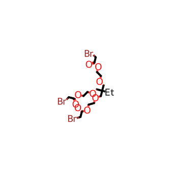 CCC(COCCOC(=O)CBr)(COCCOC(=O)CBr)COCCOC(=O)CBr